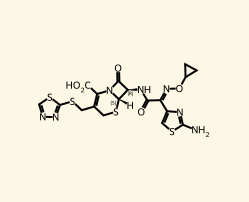 Nc1nc(C(=NOC2CC2)C(=O)N[C@@H]2C(=O)N3C(C(=O)O)=C(CSc4nncs4)CS[C@@H]23)cs1